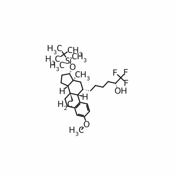 C=C[C@]12CCc3cc(OC)ccc3[C@H]1[C@@H](CCCC[C@@H](O)C(F)(F)F)C[C@]1(C)[C@@H](O[Si](C)(C)C(C)(C)C)CC[C@H]12